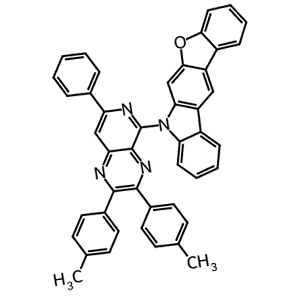 Cc1ccc(-c2nc3cc(-c4ccccc4)nc(-n4c5ccccc5c5cc6c(cc54)oc4ccccc46)c3nc2-c2ccc(C)cc2)cc1